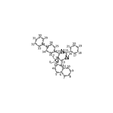 C[Si]1(C)c2ccc3ccccc3c2-c2nc(-c3ccccc3)nc(-c3ccc(-c4ccccc4)cc3)c21